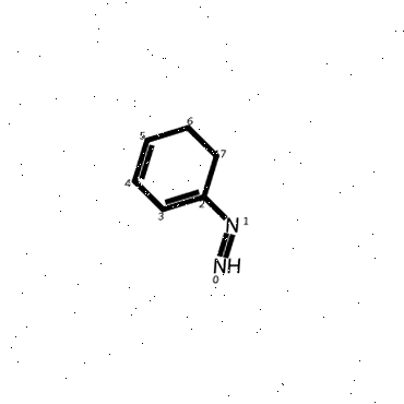 N=NC1=CC=CC[CH]1